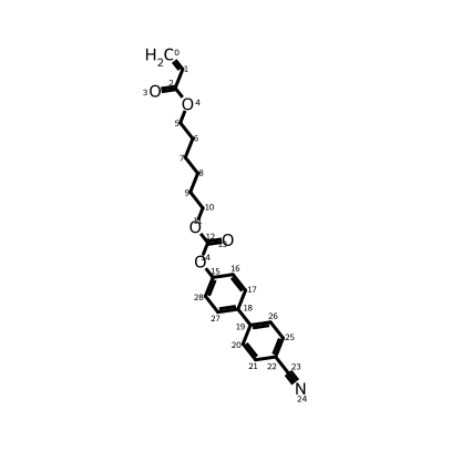 C=CC(=O)OCCCCCCOC(=O)Oc1ccc(-c2ccc(C#N)cc2)cc1